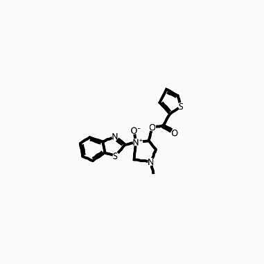 CN1CC(OC(=O)c2cccs2)[N+]([O-])(c2nc3ccccc3s2)C1